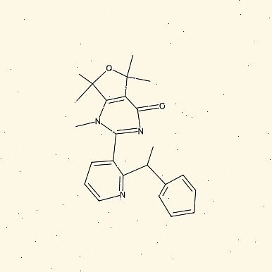 CC(c1ccccc1)c1ncccc1-c1nc(=O)c2c(n1C)C(C)(C)OC2(C)C